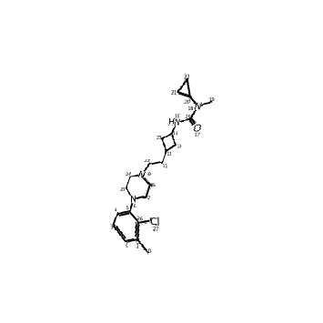 Cc1cccc(N2CCN(CCC3CC(NC(=O)N(C)C4CC4)C3)CC2)c1Cl